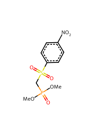 COP(=O)(CS(=O)(=O)c1ccc([N+](=O)[O-])cc1)OC